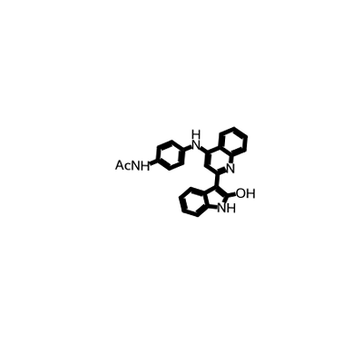 CC(=O)Nc1ccc(Nc2cc(-c3c(O)[nH]c4ccccc34)nc3ccccc23)cc1